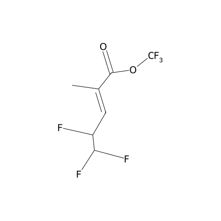 CC(=CC(F)C(F)F)C(=O)OC(F)(F)F